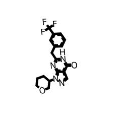 O=c1[nH]c(Cc2cccc(C(F)(F)F)c2)nc2c1cnn2C1CCCOC1